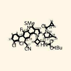 CSc1nc2c(F)c(-c3cccc(Cl)c3Cl)c(CCC#N)cc2c2c1cc([C@H]1CC3C(C)C3N1C(=O)C1CC1)n2[C@@H]1CC[C@@H]1CNC(=O)OC(C)(C)C